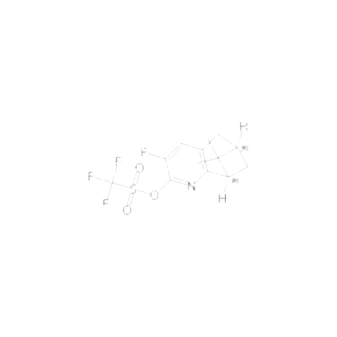 CC1(C)[C@H]2Cc3cc(F)c(OS(=O)(=O)C(F)(F)F)nc3[C@@H]1C2